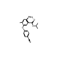 Cc1cc(N)c(C(=O)OC(C)C)cc1Oc1ccc(C#N)cc1